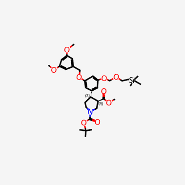 COC(=O)[C@H]1CN(C(=O)OC(C)(C)C)CC[C@@H]1c1cc(OCOCC[Si](C)(C)C)cc(OCc2cc(OC)cc(OC)c2)c1